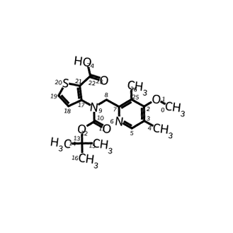 COc1c(C)cnc(CN(C(=O)OC(C)(C)C)c2ccsc2C(=O)O)c1C